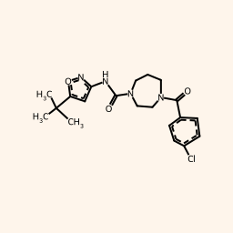 CC(C)(C)c1cc(NC(=O)N2CCCN(C(=O)c3ccc(Cl)cc3)CC2)no1